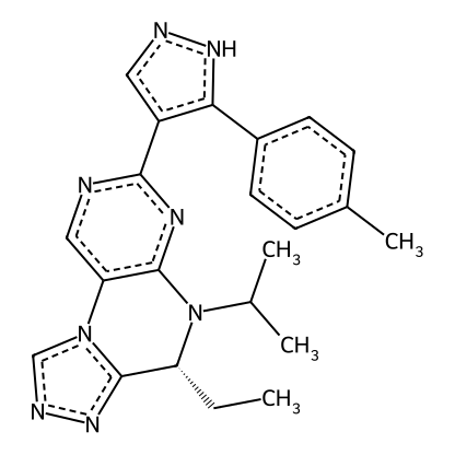 CC[C@@H]1c2nncn2-c2cnc(-c3cn[nH]c3-c3ccc(C)cc3)nc2N1C(C)C